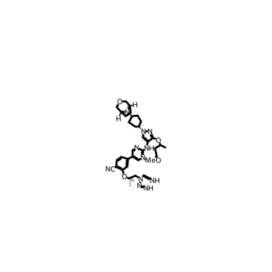 COCCC(C)Oc1nn([C@H]2CC[C@H](N3[C@@H]4CC[C@H]3COC4)CC2)cc1Nc1ncc(-c2ccc(C#N)c(O[C@@H](C)CN(C=N)N=N)c2)cn1